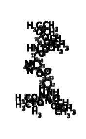 CC(C)(C)OC(=O)CC(NC(=O)Cc1ccc(OC(=O)c2ccc(N/C(=N\C(=O)OC(C)(C)C)NC(=O)OC(C)(C)C)cc2)c2ncnn12)C(=O)OC(C)(C)C